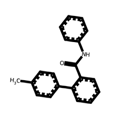 Cc1ccc(-c2ccccc2C(=O)Nc2ccccc2)cc1